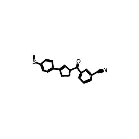 CSc1ccc(C2=CC(C(=O)c3cccc(C#N)c3)CC2)cc1